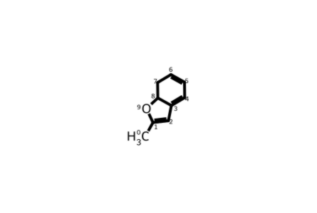 CC1=CC2=CC=CCC2O1